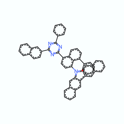 c1ccc(-c2nc(-c3ccc4ccccc4c3)nc(-c3ccc(-n4c5cc6ccccc6cc5c5cc6ccccc6cc54)c4c(-c5ccccc5)cccc34)n2)cc1